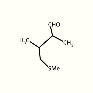 CSCC(C)C(C)C=O